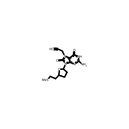 C#CCn1c(=O)n(C2CCC(CCSC)O2)c2nc(N)[nH]c(=O)c21